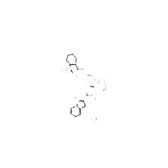 COc1cccc2[nH]c(C(=O)N[C@@H](CC(C)C)C(=O)NC(C)C(=O)Oc3n[nH]c4ccccc34)cc12